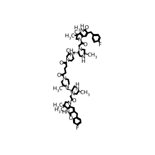 C[C@@H]1CN(CC(=O)N2CC(C)(C)c3[nH]c(=O)c(Cc4ccc(F)cc4)cc32)[C@@H](CN2CCN(C(=O)CCCC(=O)N3CCN(C[C@H]4CN[C@H](C)CN4CC(=O)N4CC(C)(C)c5[nH]c(=O)c(Cc6ccc(F)cc6)cc54)[C@H](C)C3)C[C@H]2C)CN1